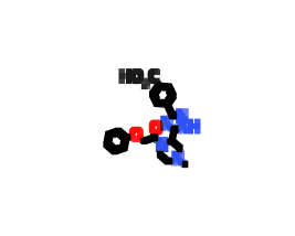 CN1CCN(C(=O)COc2ccccc2)C(c2nc(-c3ccc(C(=O)O)cc3)n[nH]2)C1